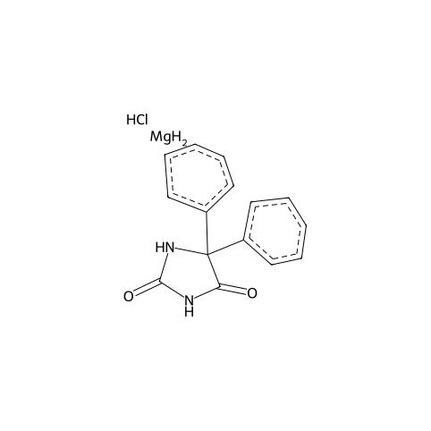 Cl.O=C1NC(=O)C(c2ccccc2)(c2ccccc2)N1.[MgH2]